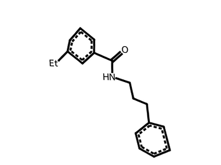 CCc1cccc(C(=O)NCCCc2ccccc2)c1